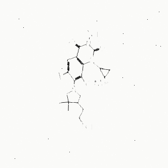 COc1c(N2CC(CCN)C(C)(C)C2)c(F)cc2c(=O)n(N)c(=O)n(C3CC3)c12